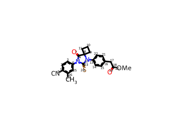 [C-]#[N+]c1ccc(N2C(=O)C3(CCC3)N(c3ccc(CC(=O)OC)cc3)C2=S)cc1C